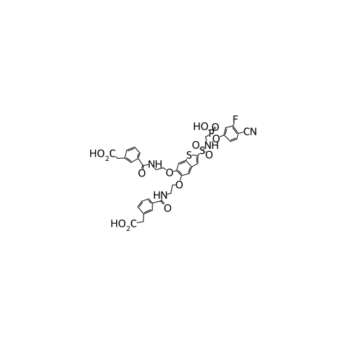 N#Cc1ccc(OP(=O)(O)CNS(=O)(=O)c2cc3cc(OCCNC(=O)c4cccc(CC(=O)O)c4)c(OCCNC(=O)c4cccc(CC(=O)O)c4)cc3s2)cc1F